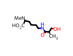 CN[C@@H](CCCCNC(=O)[C@H](C)CO)C(=O)O